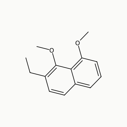 CCc1ccc2cccc(OC)c2c1OC